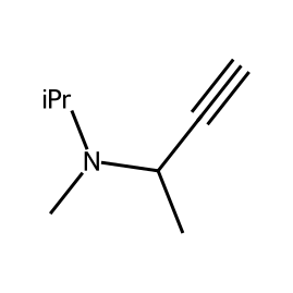 C#CC(C)N(C)C(C)C